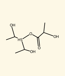 CC(O)C(=O)O[SH](C(C)O)C(C)O